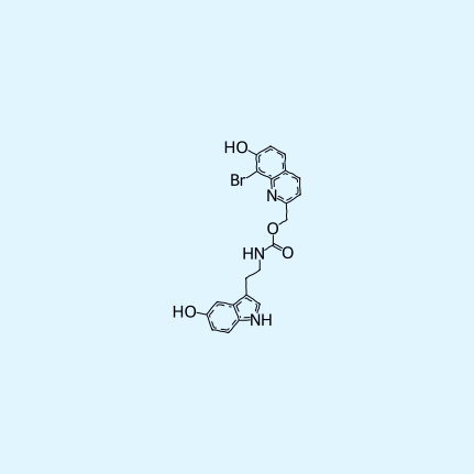 O=C(NCCc1c[nH]c2ccc(O)cc12)OCc1ccc2ccc(O)c(Br)c2n1